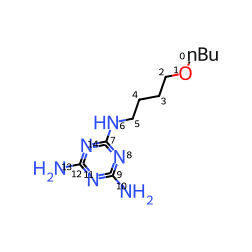 CCCCOCCCCNc1nc(N)nc(N)n1